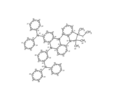 CCC1(C)c2cccc3c2N(c2cccc4c2B3c2ccc(N(c3ccccc3)c3ccccc3)cc2N4c2cccc(N(c3ccccc3)c3ccccc3)c2)C1(C)C